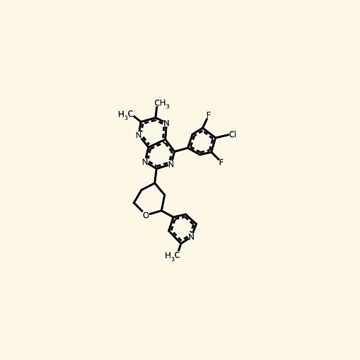 Cc1cc(C2CC(c3nc(-c4cc(F)c(Cl)c(F)c4)c4nc(C)c(C)nc4n3)CCO2)ccn1